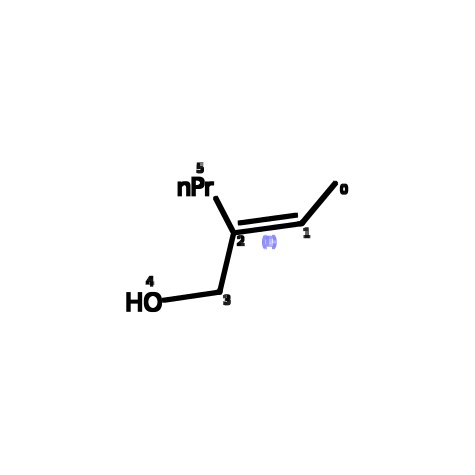 C/C=C(/CO)CCC